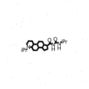 CC(C)NC(=O)NC(=O)C1CCC2C1CCC1C2CCC2C1CCCN2C(C)C